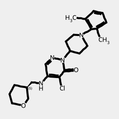 Cc1cccc(C)c1N1CCC(n2ncc(NC[C@@H]3CCCOC3)c(Cl)c2=O)CC1